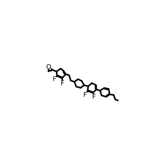 CCCC1=CCC(C2=CCC(C3CCC(CCC4=CCC(C5CO5)C(F)=C4F)CC3)C(F)=C2F)C=C1